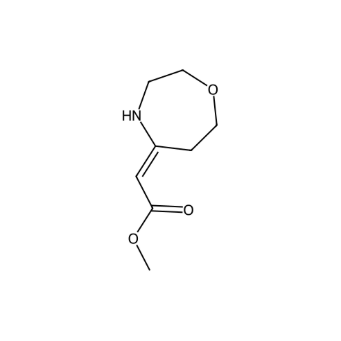 COC(=O)/C=C1\CCOCCN1